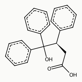 O=C(O)C[C@H](c1ccccc1)C(O)(c1ccccc1)c1ccccc1